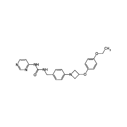 CCOc1ccc(OC2CN(c3ccc(CNC(=O)Nc4ccncn4)cc3)C2)cc1